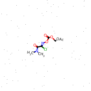 CC(=O)OCOC(=O)ON=C(Cl)C(=O)N(C)C